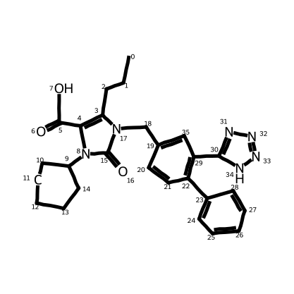 CCCc1c(C(=O)O)n(C2CCCCC2)c(=O)n1Cc1ccc(-c2ccccc2)c(-c2nnn[nH]2)c1